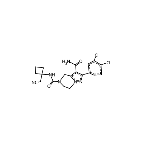 N#CCC1(NC(=O)N2CCn3nc(-c4ccc(Cl)c(Cl)c4)c(C(N)=O)c3C2)CCC1